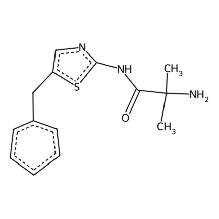 CC(C)(N)C(=O)Nc1ncc(Cc2ccccc2)s1